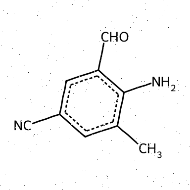 Cc1cc(C#N)cc(C=O)c1N